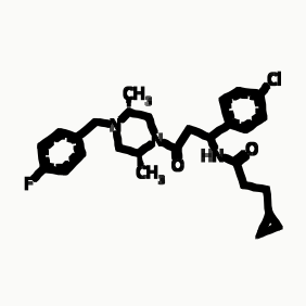 C[C@@H]1CN(C(=O)CC(NC(=O)CCC2CC2)c2ccc(Cl)cc2)[C@@H](C)CN1Cc1ccc(F)cc1